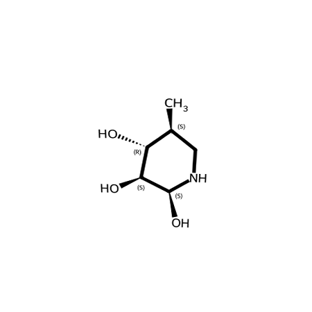 C[C@H]1CN[C@@H](O)[C@@H](O)[C@@H]1O